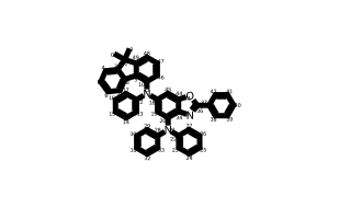 CC1(C)c2ccccc2-c2c(N(c3ccccc3)c3cc(N(c4ccccc4)c4ccccc4)c4nc(-c5ccccc5)oc4c3)cccc21